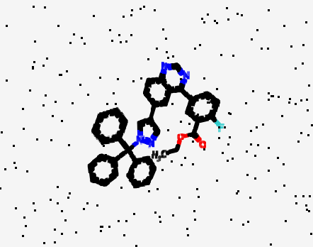 CCOC(=O)c1cc(-c2ncnc3ccc(-c4cnn(C(c5ccccc5)(c5ccccc5)c5ccccc5)c4)cc23)ccc1F